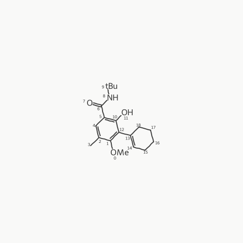 COc1c(C)cc(C(=O)NC(C)(C)C)c(O)c1C1=CCCCC1